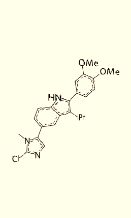 COc1ccc(-c2[nH]c3ccc(-c4cnc(Cl)n4C)cc3c2C(C)C)cc1OC